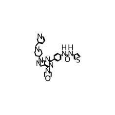 O=C(Nc1ccc(-c2nc(N3CCOCC3)c3cnn(C4CCN(Cc5cccnc5)CC4)c3n2)cc1)Nc1ccsc1